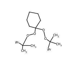 CC(C)C(C)(C)OOC1(OOC(C)(C)C(C)C)CCCCC1